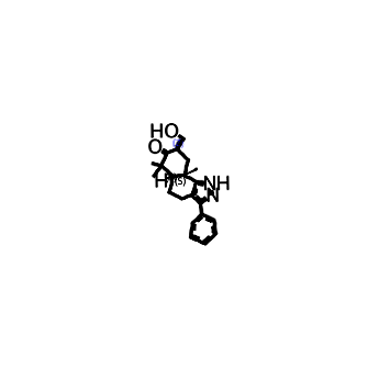 CC1(C)C(=O)/C(=C\O)C[C@]2(C)c3[nH]nc(-c4ccccc4)c3CC[C@@H]12